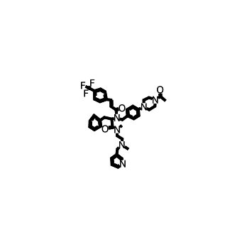 CC(=O)N1CCN(c2ccc(CN(C(=O)C=Cc3ccc(C(F)(F)F)cc3)C(Cc3ccccc3)C(=O)N(C)CCN(C)Cc3cccnc3)cc2)CC1